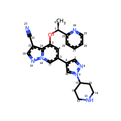 C[C@H](Oc1cc(-c2cnn(C3CCNCC3)c2)cn2ncc(C#N)c12)c1ccccn1